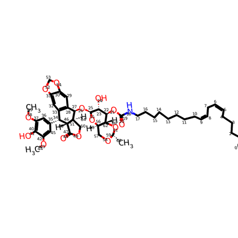 CCCCC/C=C\C/C=C\CCCCCCCCNC(=O)O[C@@H]1[C@@H](O)[C@H](O[C@@H]2c3cc4c(cc3[C@@H](c3cc(OC)c(O)c(OC)c3)[C@H]3C(=O)OC[C@@H]32)OCO4)O[C@@H]2CO[C@@H](C)O[C@@H]12